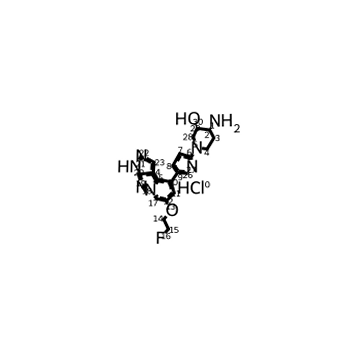 Cl.N[C@H]1CCN(c2ccc(-c3cc(OCCF)cn4nc5[nH]ncc5c34)cn2)C[C@@H]1O